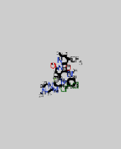 Cc1cc(C(F)(F)F)cc(N2C(=O)C[C@@H]3CN(Cc4nc5n(c4F)CCN(C)C5)c4c(Cl)cccc4N(C)C(=O)[C@H]32)n1.Cl